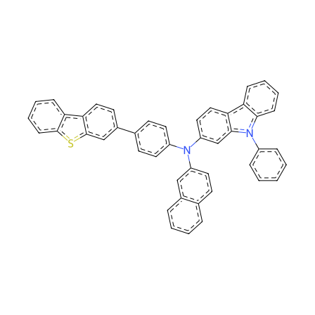 c1ccc(-n2c3ccccc3c3ccc(N(c4ccc(-c5ccc6c(c5)sc5ccccc56)cc4)c4ccc5ccccc5c4)cc32)cc1